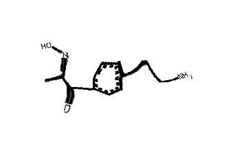 CC(=NO)C(=O)c1ccc(CCN)cc1